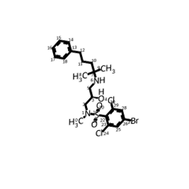 CN(C[C@H](O)CNC(C)(C)CCCc1ccccc1)S(=O)(=O)c1c(Cl)cc(Br)cc1Cl